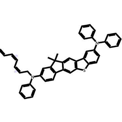 C=C/C=C\C=C/CN(c1ccccc1)c1ccc2c(c1)C(C)(C)c1cc3c(cc1-2)sc1ccc(N(c2ccccc2)c2ccccc2)cc13